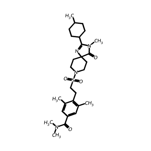 Cc1cc(C(=O)N(C)C)cc(C)c1CCS(=O)(=O)N1CCC2(CC1)N=C(C1CCC(C)CC1)N(C)C2=O